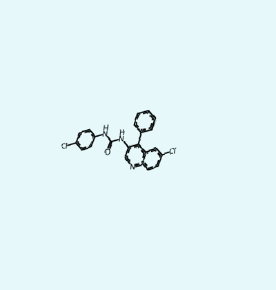 O=C(Nc1ccc(Cl)cc1)Nc1cnc2ccc(Cl)cc2c1-c1ccccc1